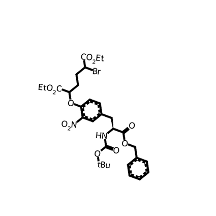 CCOC(=O)C(Br)CCC(Oc1ccc(C[C@H](NC(=O)OC(C)(C)C)C(=O)OCc2ccccc2)cc1[N+](=O)[O-])C(=O)OCC